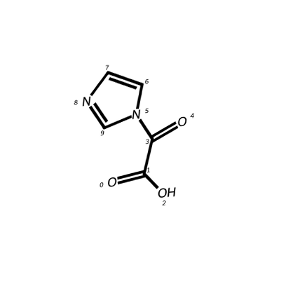 O=C(O)C(=O)n1ccnc1